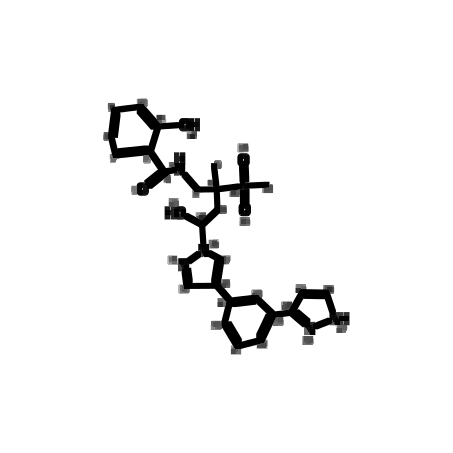 CC(CNC(=O)c1ccccc1O)(CC(O)n1cc(-c2cccc(-c3cc[nH]n3)c2)cn1)S(C)(=O)=O